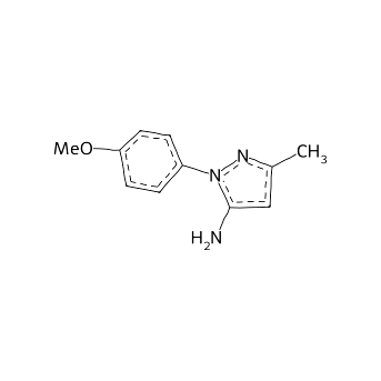 COc1ccc(-n2nc(C)cc2N)cc1